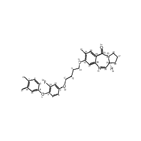 Cc1ccc(Oc2ccc(OCCCCOc3cc4c(cc3C)C(=O)N3CCC[C@H]3C=N4)cc2F)cc1C